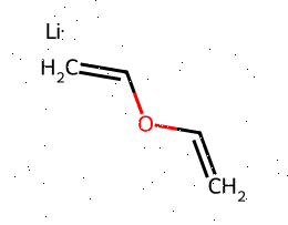 C=COC=C.[Li]